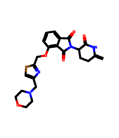 C=C1CCC(N2C(=O)c3cccc(OCc4nc(CN5CCOCC5)cs4)c3C2=O)C(=O)N1